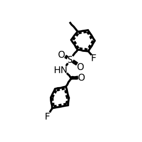 Cc1ccc(F)c(S(=O)(=O)NC(=O)c2ccc(F)cc2)c1